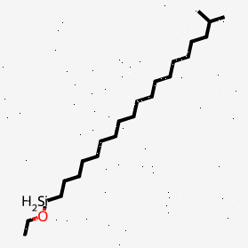 CCO[SiH2]CCCCCCCCCCCCCCCCCC(C)C